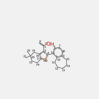 C=C(O)c1c(-c2cccc3c2CCCCC3)sc2c1CC(C)(C)CC2